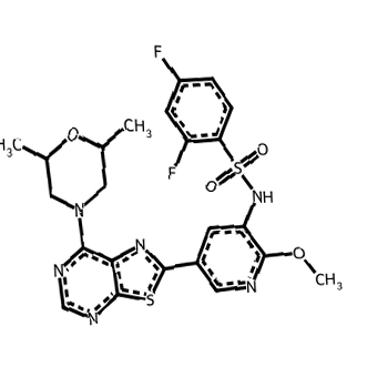 COc1ncc(-c2nc3c(N4CC(C)OC(C)C4)ncnc3s2)cc1NS(=O)(=O)c1ccc(F)cc1F